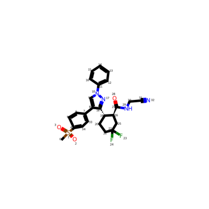 CS(=O)(=O)c1ccc(-c2cn(-c3ccccc3)nc2[C@H]2CCC(F)(F)C[C@@H]2C(=O)NCC#N)cc1